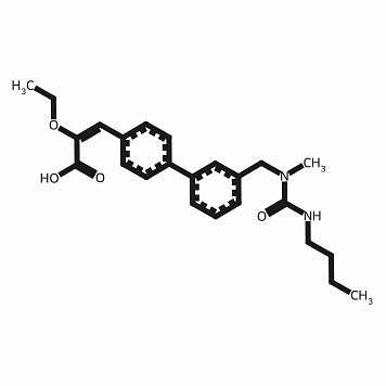 CCCCNC(=O)N(C)Cc1cccc(-c2ccc(/C=C(/OCC)C(=O)O)cc2)c1